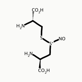 N[C@@H](CS[S+](C[C@H](N)C(=O)O)N=O)C(=O)O